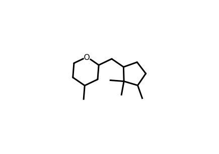 CC1CCOC(CC2CCC(C)C2(C)C)C1